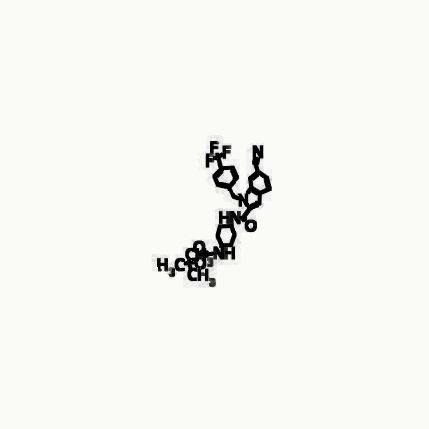 CC(C)(C)OC(=O)N[C@H]1CC[C@H](NC(=O)c2cc3ccc(C#N)cc3n2Cc2ccc(C(F)(F)F)cc2)CC1